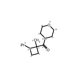 CC(C)N1CCC1(C)C(=O)N1CCOCC1